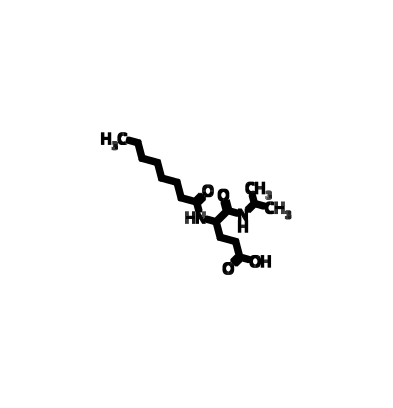 CCCCCCCC(=O)NC(CCC(=O)O)C(=O)NC(C)C